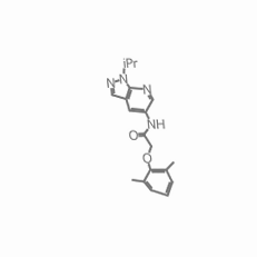 Cc1cccc(C)c1OCC(=O)Nc1cnc2c(cnn2C(C)C)c1